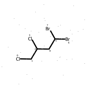 ClCC(Cl)CC(Br)Br